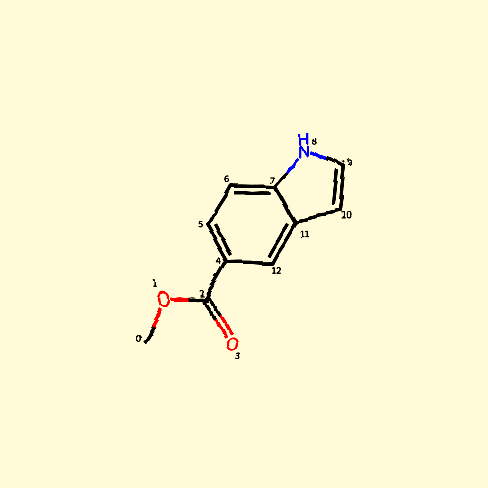 COC(=O)c1ccc2[nH][c]cc2c1